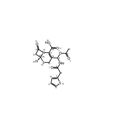 CC(=O)OC(NC(=O)Cc1cccs1)C1=C(C(=O)O)N2C(=O)C[C@H]2SC1